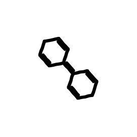 C1=CC(=C2C=CCC=C2)C=CC1